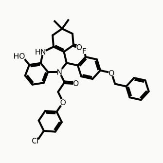 CC1(C)CC(=O)C2=C(C1)Nc1c(O)cccc1N(C(=O)COC1=CCC(Cl)C=C1)C2c1ccc(OCc2ccccc2)cc1F